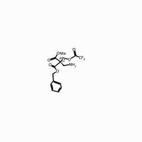 COC(=O)[C@](CN)(NOC(=O)C(F)(F)F)C(=O)OCc1ccccc1